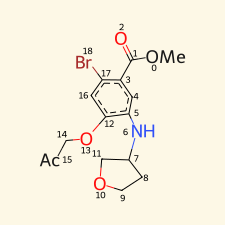 COC(=O)c1cc(NC2CCOC2)c(OCC(C)=O)cc1Br